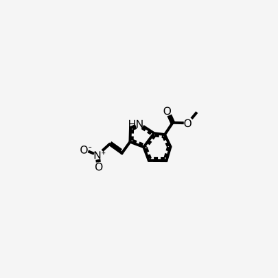 COC(=O)c1cccc2c(C=C[N+](=O)[O-])c[nH]c12